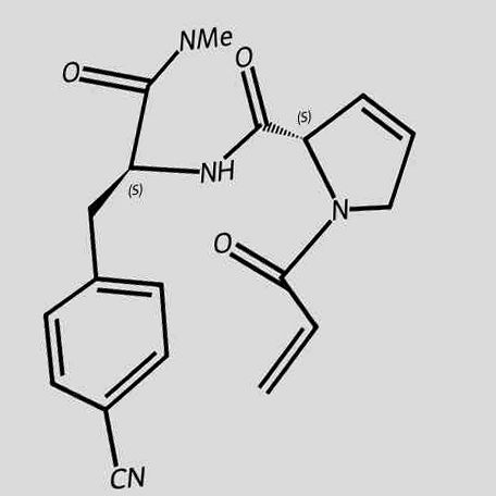 C=CC(=O)N1CC=C[C@H]1C(=O)N[C@@H](Cc1ccc(C#N)cc1)C(=O)NC